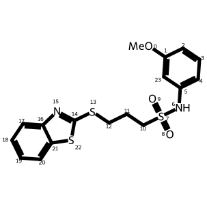 COc1cccc(NS(=O)(=O)CCCSc2nc3ccccc3s2)c1